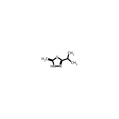 C=C1NN=C(C(C)C)S1